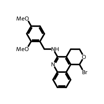 COc1ccc(CNc2nc3ccccc3c3c2CCOC3Br)c(OC)c1